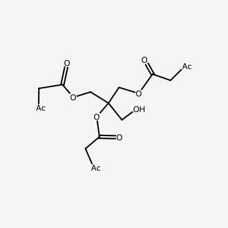 CC(=O)CC(=O)OCC(CO)(COC(=O)CC(C)=O)OC(=O)CC(C)=O